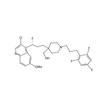 COc1ccc2ncc(Cl)c([C@H](F)CCC3(CO)CCN(CCCc4c(F)cc(F)cc4F)CC3)c2c1